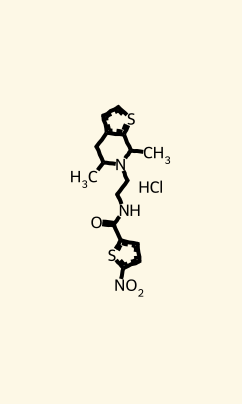 CC1Cc2ccsc2C(C)N1CCNC(=O)c1ccc([N+](=O)[O-])s1.Cl